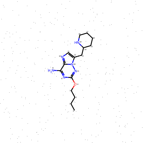 CCCCOc1nc(N)c2ncc(CC3CCCCN3)n2n1